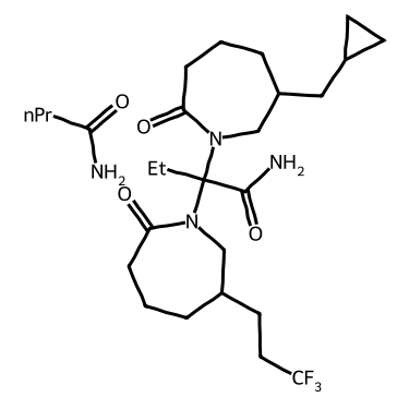 CCC(C(N)=O)(N1CC(CCC(F)(F)F)CCCC1=O)N1CC(CC2CC2)CCCC1=O.CCCC(N)=O